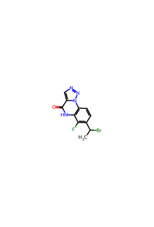 CC(Br)c1ccc2c([nH]c(=O)c3cnnn32)c1F